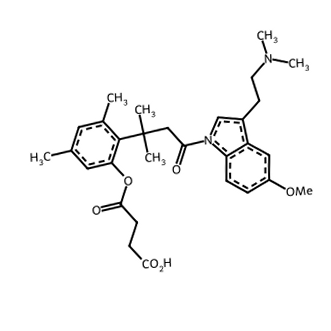 COc1ccc2c(c1)c(CCN(C)C)cn2C(=O)CC(C)(C)c1c(C)cc(C)cc1OC(=O)CCC(=O)O